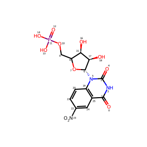 O=c1[nH]c(=O)n([C@@H]2OC(COP(=O)(O)O)[C@@H](O)[C@H]2O)c2ccc([N+](=O)[O-])cc12